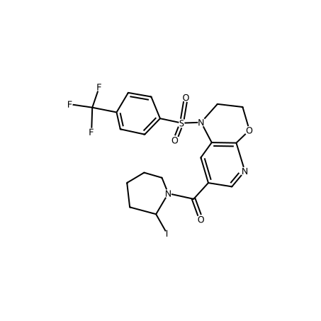 O=C(c1cnc2c(c1)N(S(=O)(=O)c1ccc(C(F)(F)F)cc1)CCO2)N1CCCCC1I